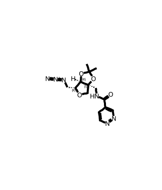 CC1(C)O[C@@H]2[C@@H](CN=[N+]=[N-])OC[C@]2(CNC(=O)c2ccnnc2)O1